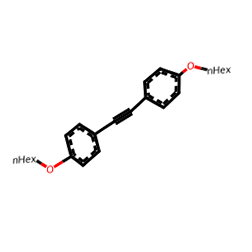 CCCCCCOc1ccc(C#Cc2ccc(OCCCCCC)cc2)cc1